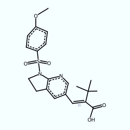 COc1ccc(S(=O)(=O)N2CCc3cc(/C=C(/C(=O)O)C(C)(C)C)cnc32)cc1